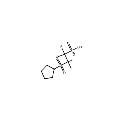 O=S(=O)(O)C(F)(F)C(F)(F)S(=O)(=O)N1CCCC1